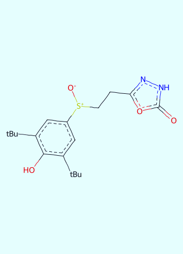 CC(C)(C)c1cc([S+]([O-])CCc2n[nH]c(=O)o2)cc(C(C)(C)C)c1O